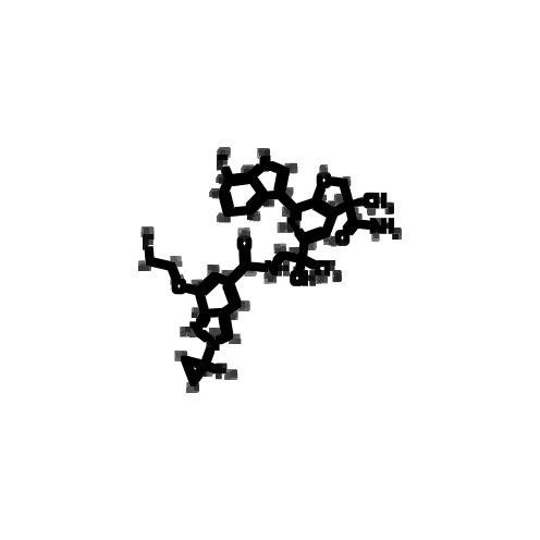 C[C@]1(C(N)=O)COc2c1cc(C(O)(CNC(=O)c1cc(OCCF)c3nn(C4(F)CC4)cc3c1)C(F)(F)F)nc2-c1csc2c(F)cccc12